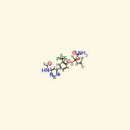 CC(=O)Nc1cc(-c2ccc(OCC(C)(CC(C)C)OC(N)=O)c(C(F)(F)F)c2)ncn1